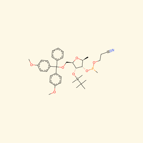 COc1ccc(C(OC[C@H]2O[C@@H](C)[C@H](OP(C)OCCC#N)[C@@H]2O[Si](C)(C)C(C)(C)C)(c2ccccc2)c2ccc(OC)cc2)cc1